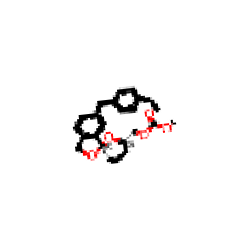 CCc1ccc(Cc2ccc3c(c2)[C@]2(CCC[C@@H](COC(=O)OC)O2)OC3)cc1